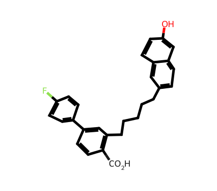 O=C(O)c1ccc(-c2ccc(F)cc2)cc1CCCCCc1ccc2cc(O)ccc2c1